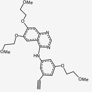 C#Cc1cc(Nc2ncnc3cc(OCCOC)c(OCCOC)cc23)cc(OCCOC)c1